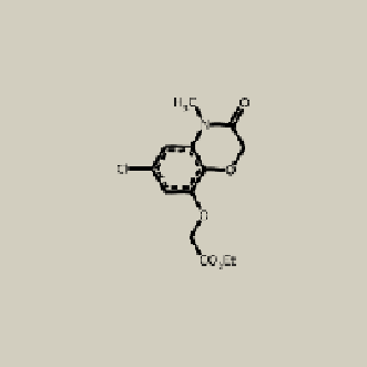 CCOC(=O)COc1cc(Cl)cc2c1OCC(=O)N2C